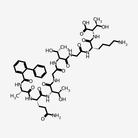 C[C@H](NC(=O)c1ccccc1-c1ccccc1)C(=O)N[C@@H](CCC(N)=O)C(=O)N[C@H](C(=O)NCC(=O)N[C@H](C(=O)NCC(=O)N[C@@H](CCCCN)C(=O)N[C@H](C(=O)O)[C@@H](C)O)[C@@H](C)O)[C@@H](C)O